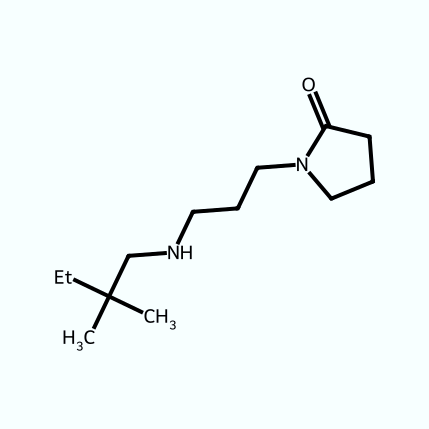 CCC(C)(C)CNCCCN1CCCC1=O